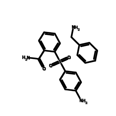 NC(=O)c1ccccc1S(=O)(=O)c1ccc(N)cc1.NCc1ccccc1